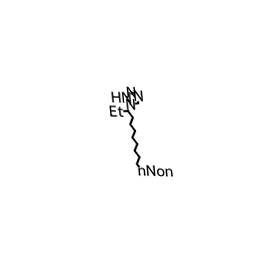 CCCCCCCCCCCCCCCCCC(CC)N1CN=NN1